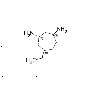 CC[C@@H]1CC[C@H](N)C[C@@H](N)C1